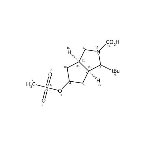 CC(C)(C)C1[C@H]2CC(OS(C)(=O)=O)C[C@H]2CN1C(=O)O